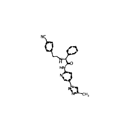 Cc1cn(-c2ccc(NC(=O)C(NCCc3ccc(C#N)cc3)c3ccccc3)nc2)nn1